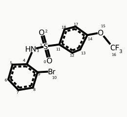 O=S(=O)(Nc1ccccc1Br)c1ccc(OC(F)(F)F)cc1